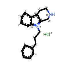 Cl.c1ccc(CCCn2c3c(c4ccccc42)CCNC3)cc1